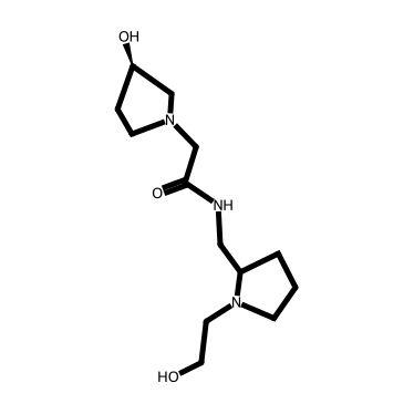 O=C(CN1CC[C@@H](O)C1)NCC1CCCN1CCO